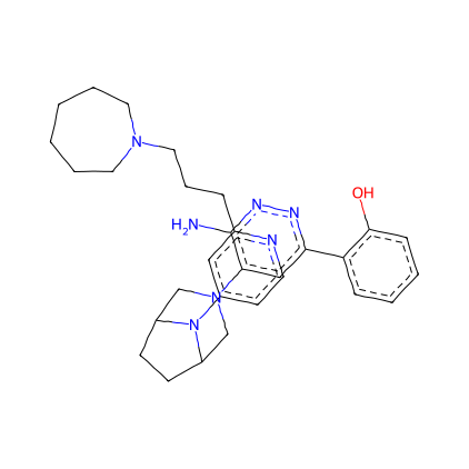 Nc1nnc(-c2ccccc2O)cc1N1CC2CCC(C1)N2c1ccnc(CCCN2CCCCCC2)c1